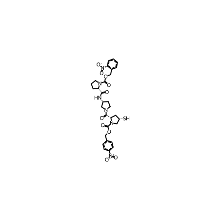 O=C(N[C@@H]1CCN(C(=O)[C@@H]2C[C@H](S)CN2C(=O)OCc2ccc([N+](=O)[O-])cc2)C1)[C@@H]1CCCN1C(=O)OCc1ccccc1[N+](=O)[O-]